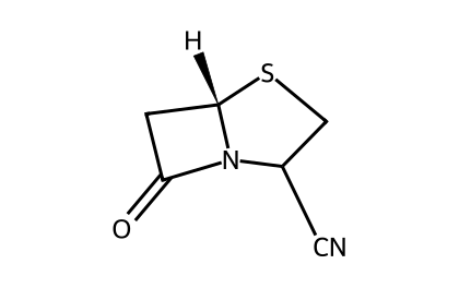 N#CC1CS[C@H]2CC(=O)N12